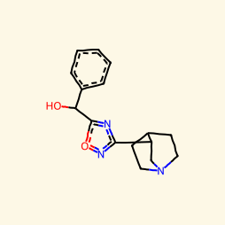 OC(c1ccccc1)c1nc(C2CN3CCC2CC3)no1